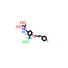 Cl.NC(CO)(CO)CCc1ccc(OC/C=C/c2ccc(F)cc2)c(C(F)(F)F)c1